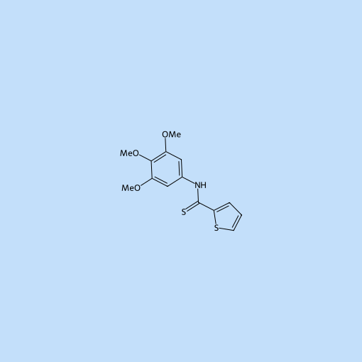 COc1cc(NC(=S)c2cccs2)cc(OC)c1OC